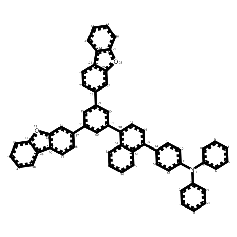 c1ccc(N(c2ccccc2)c2ccc(-c3ccc(-c4cc(-c5ccc6c(c5)oc5ccccc56)cc(-c5ccc6c(c5)oc5ccccc56)c4)c4ccccc34)cc2)cc1